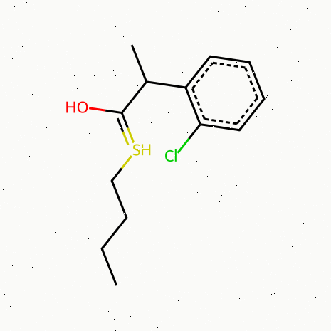 CCCC[SH]=C(O)C(C)c1ccccc1Cl